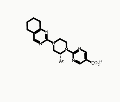 CC(=O)[C@@H]1CN(c2ncc3c(n2)CCCC3)CCN1c1ncc(C(=O)O)cn1